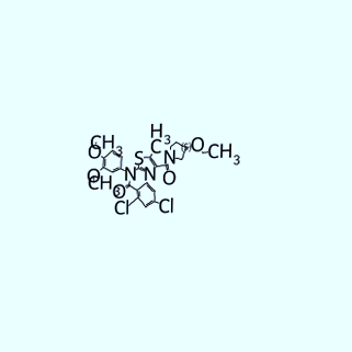 CCO[C@H]1CCN(C(=O)c2nc(N(C(=O)c3ccc(Cl)cc3Cl)c3ccc(OC)c(OC)c3)sc2C)C1